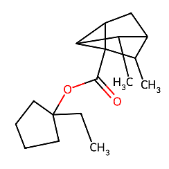 CCC1(OC(=O)C23C(C)C4CC2C3C4C)CCCC1